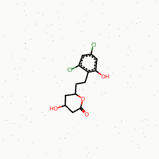 O=C1CC(O)CC(CCc2c(O)cc(Cl)cc2Cl)O1